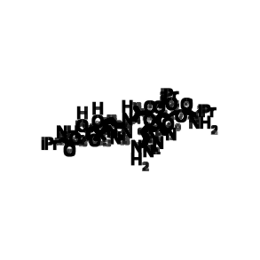 C/N=C\[C@@]1(c2ccc3c(N)ncnn23)O[C@H](COC(=O)[C@@H](N)C(C)C)[C@@H](OC(=O)C(C)C)[C@H]1OC(=O)C(C)CNc1ncnn2c([C@]3(C)O[C@H](COC(=O)[C@H](N)C(C)C)[C@@H](O)[C@H]3O)ccc12